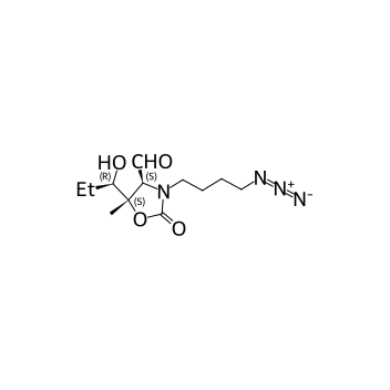 CC[C@@H](O)[C@@]1(C)OC(=O)N(CCCCN=[N+]=[N-])[C@@H]1C=O